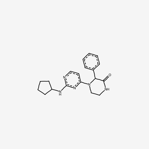 O=C1NCCN(c2ccnc(NC3CCCC3)n2)C1c1ccccc1